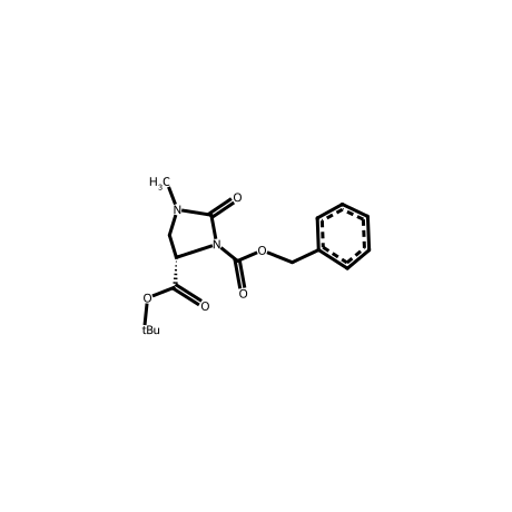 CN1C[C@@H](C(=O)OC(C)(C)C)N(C(=O)OCc2ccccc2)C1=O